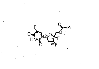 CC(C)C(=O)OC[C@@]1(F)O[C@@H](n2cc(F)c(=O)[nH]c2=O)C[C@@H]1F